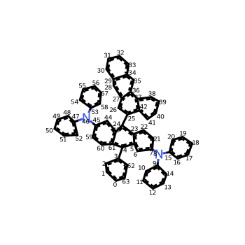 c1ccc(-c2c3cc(N(c4ccccc4)c4ccccc4)ccc3c(-c3cc4cc5ccccc5cc4c4ccccc34)c3cc(N(c4ccccc4)c4ccccc4)ccc23)cc1